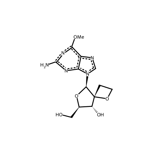 COc1nc(N)nc2c1ncn2[C@@H]1O[C@H](CO)[C@@H](O)[C@]12CCO2